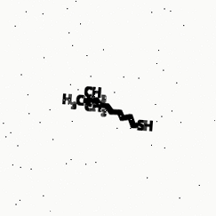 CC(C)(C)CCCCCCCCS